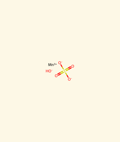 O=S(=O)([O-])[O-].[Mn+3].[OH-]